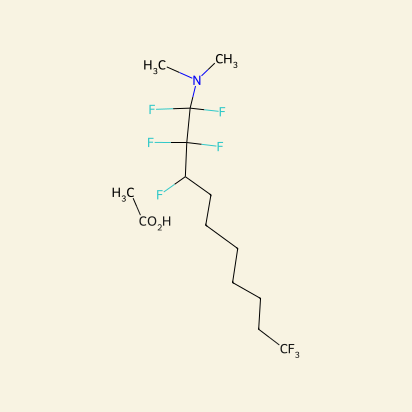 CC(=O)O.CN(C)C(F)(F)C(F)(F)C(F)CCCCCCC(F)(F)F